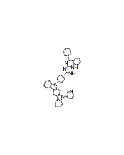 N=C(/N=c1/nc(-c2ccccc2)c2ccccc2[nH]1)c1ccc(-n2c3ccccc3c3cc4c5ccccc5n(-c5cccnc5)c4cc32)cc1